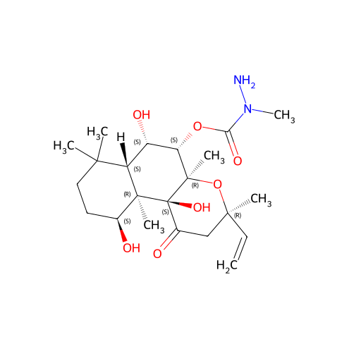 C=C[C@@]1(C)CC(=O)[C@]2(O)[C@@]3(C)[C@@H](O)CCC(C)(C)[C@@H]3[C@H](O)[C@H](OC(=O)N(C)N)[C@@]2(C)O1